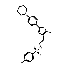 Cc1ccc(S(=O)(=O)OCCc2nc(-c3ccc(N4CCOCC4)nc3)sc2C)cc1